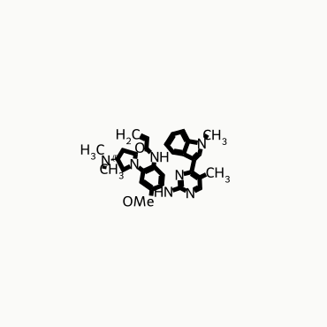 C=CC(=O)Nc1cc(Nc2ncc(C)c(-c3cn(C)c4ccccc34)n2)c(OC)cc1N1CC[C@@H](N(C)C)C1